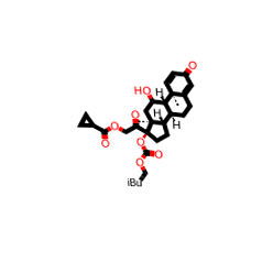 CCC(C)COC(=O)O[C@]1(C(=O)COC(=O)C2CC2)CC[C@H]2[C@@H]3CCC4=CC(=O)C=C[C@]4(C)[C@H]3C(O)C[C@@]21C